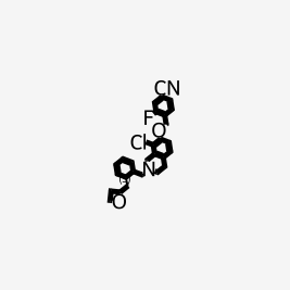 N#Cc1ccc(COc2ccc3c(c2Cl)CN(CC2C=CC=C[C@@H]2CC2CCO2)CC3)c(F)c1